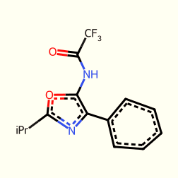 CC(C)c1nc(-c2ccccc2)c(NC(=O)C(F)(F)F)o1